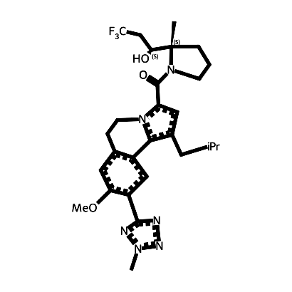 COc1cc2c(cc1-c1nnn(C)n1)-c1c(CC(C)C)cc(C(=O)N3CCC[C@@]3(C)[C@@H](O)CC(F)(F)F)n1CC2